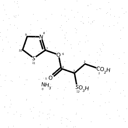 N.O=C(O)CC(C(=O)OC1=NCCS1)S(=O)(=O)O